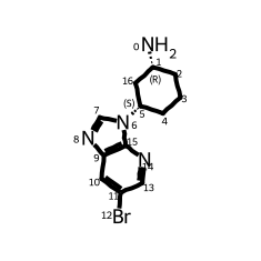 N[C@@H]1CCC[C@H](n2cnc3cc(Br)cnc32)C1